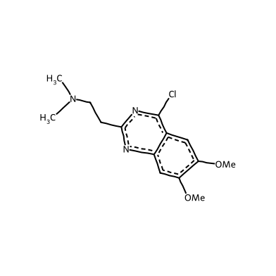 COc1cc2nc(CCN(C)C)nc(Cl)c2cc1OC